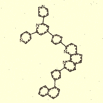 c1cc(-c2ccc3ccc4ccc(-c5ccc(-c6cc(-c7ccncc7)nc(-c7ccncc7)c6)cc5)nc4c3n2)cc(-c2cccc3ccccc23)c1